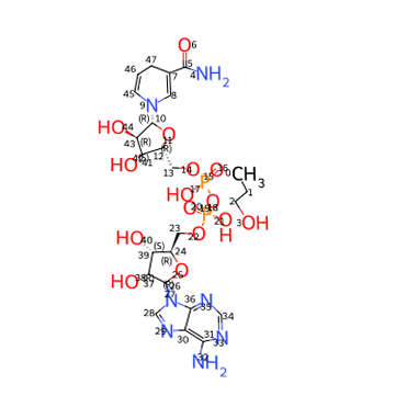 CCCO.NC(=O)C1=CN([C@@H]2O[C@H](COP(=O)(O)OP(=O)(O)OC[C@H]3O[C@@H](n4cnc5c(N)ncnc54)[C@H](O)[C@@H]3O)[C@@H](O)[C@H]2O)C=CC1